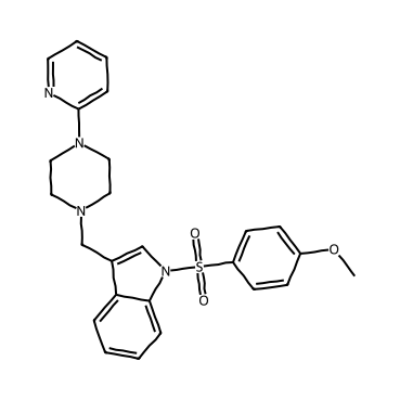 COc1ccc(S(=O)(=O)n2cc(CN3CCN(c4ccccn4)CC3)c3ccccc32)cc1